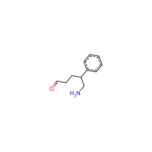 NCC(CCC=O)c1ccccc1